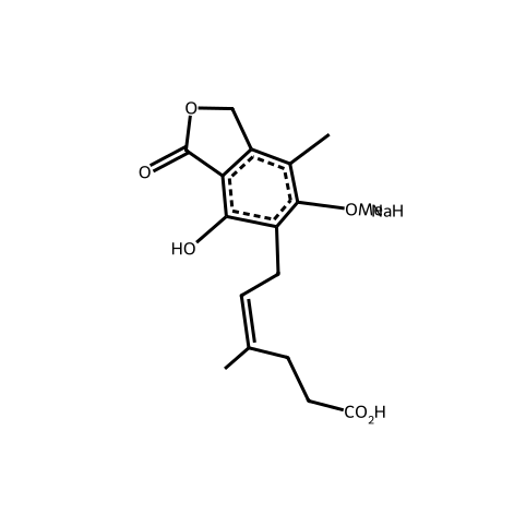 COc1c(C)c2c(c(O)c1CC=C(C)CCC(=O)O)C(=O)OC2.[NaH]